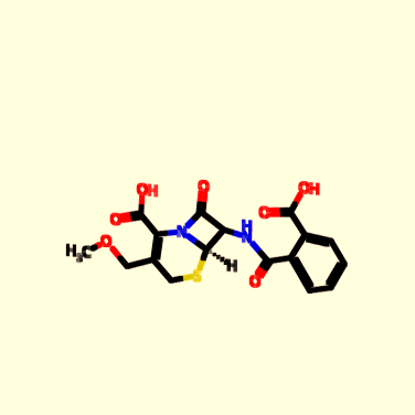 COCC1=C(C(=O)O)N2C(=O)C(NC(=O)c3ccccc3C(=O)O)[C@H]2SC1